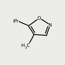 Cc1cnoc1C(C)C